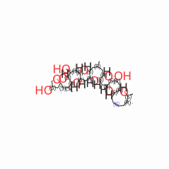 C[C@@H]1C[C@@H]2O[C@@H]3[C@@H](C)[C@H](O)[C@@H]4OC5(C[C@H](O)CO5)[C@@H](C)[C@H](C)[C@H]4O[C@H]3C[C@H]2O[C@H]2C[C@H]3O[C@H]4C/C=C\C[C@@H](C)[C@H](C)O[C@@H]4C[C@@H](O)[C@]3(C)O[C@@H]2C1